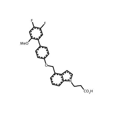 COc1cc(F)c(F)cc1-c1ccc(OCc2cccc3c2ccn3CCC(=O)O)cc1